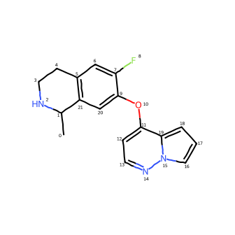 CC1NCCc2cc(F)c(Oc3ccnn4cccc34)cc21